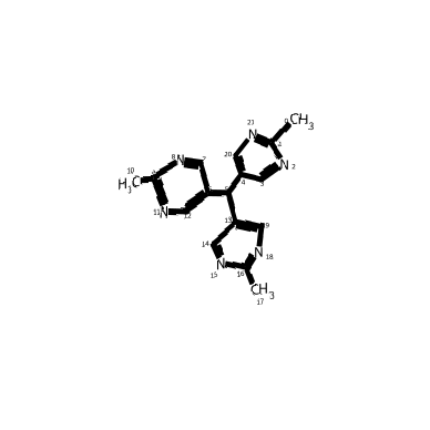 Cc1ncc(C(c2cnc(C)nc2)c2cnc(C)nc2)cn1